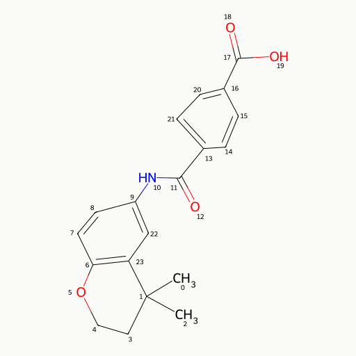 CC1(C)CCOc2ccc(NC(=O)c3ccc(C(=O)O)cc3)cc21